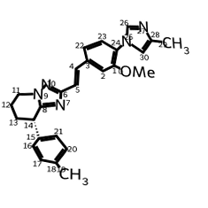 COc1cc(/C=C/c2nc3n(n2)CCC[C@H]3c2ccc(C)cc2)ccc1-n1cnc(C)c1